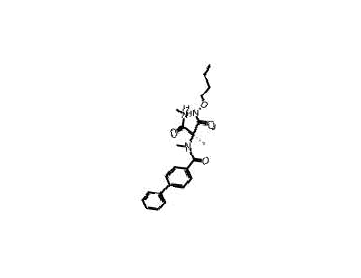 CCCCONC(=O)[C@](C)(C(=O)NC)N(C)C(=O)c1ccc(-c2ccccc2)cc1